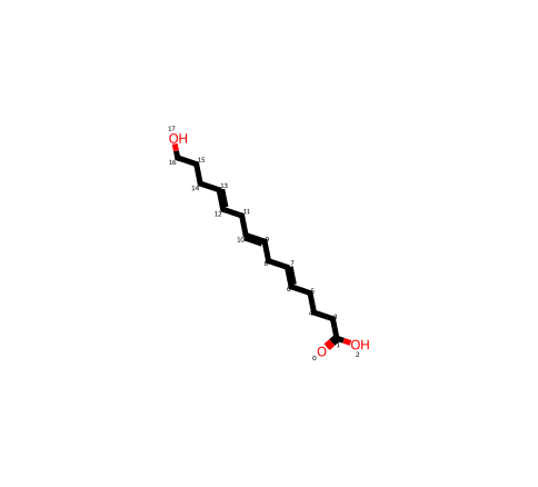 O=C(O)CCCC=CCC=CCC=CCCCO